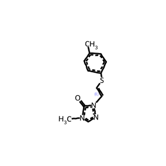 Cc1ccc(S/C=C/n2ncn(C)c2=O)cc1